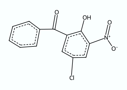 O=C(c1ccccc1)c1cc(Cl)cc([N+](=O)[O-])c1O